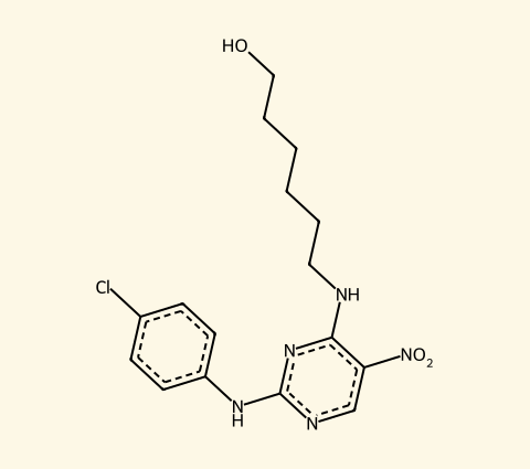 O=[N+]([O-])c1cnc(Nc2ccc(Cl)cc2)nc1NCCCCCCO